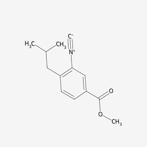 [C-]#[N+]c1cc(C(=O)OC)ccc1CC(C)C